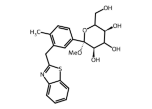 CO[C@]1(c2ccc(C)c(Cc3nc4ccccc4s3)c2)OC(CO)[C@@H](O)C(O)[C@H]1O